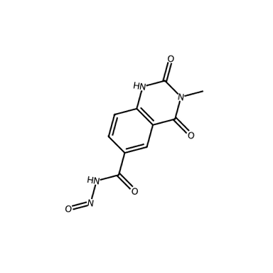 Cn1c(=O)[nH]c2ccc(C(=O)NN=O)cc2c1=O